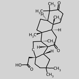 CC1(C)CC[C@]2(CC(=O)O)CC[C@]3(C)[C@H](C(=O)C[C@@H]4[C@@]5(C)CCC(=O)C(C)(C)[C@@H]5CC[C@]43C)[C@@H]2C1